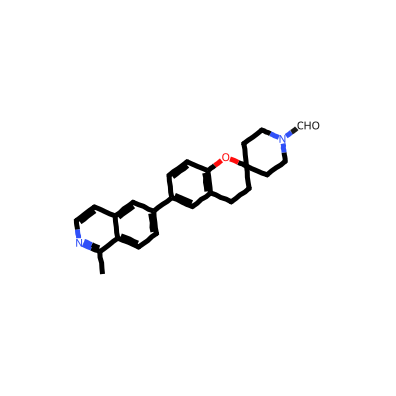 Cc1nccc2cc(-c3ccc4c(c3)CCC3(CCN(C=O)CC3)O4)ccc12